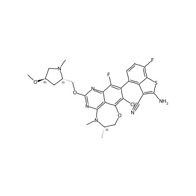 CO[C@@H]1C[C@@H](COc2nc3c4c(c(Cl)c(-c5ccc(F)c6sc(N)c(C#N)c56)c(F)c4n2)OC[C@H](C)N3C)N(C)C1